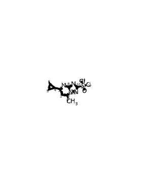 Cc1cc(C2CC2)nc2nc(S(=O)(=O)Cl)nn12